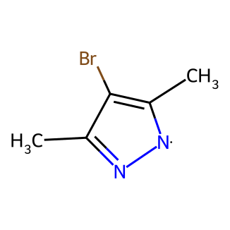 CC1=N[N]C(C)=C1Br